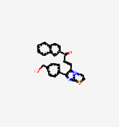 O=C(/C=C/c1c(-c2ccc(CO)cc2)nc2sccn12)c1ccc2ccccc2c1